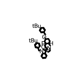 C[C@@H]1[C@H]2C[C@@H]3N(CC[C@@]34C(=O)N(Cc3ccc(C(C)(C)C)cc3)c3ccccc34)C[C@@H]2CC[C@@H]1OCc1ccc(C(C)(C)C)cc1